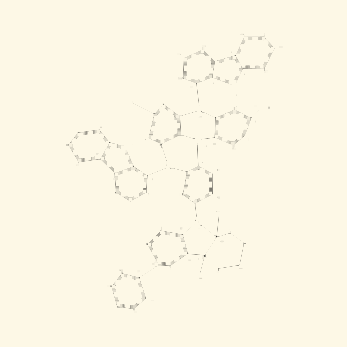 Cc1cc2c3c(c1)N(c1cccc4c1sc1ccccc14)c1cc(N4c5ccc(-c6ccccc6)cc5C5(C)CCCCC45C)ccc1B3c1ccc(C(C)(C)C)cc1N2c1cccc2c1oc1ccccc12